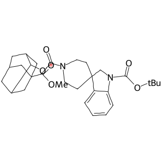 COC(=O)C12CC3CC(C1)C(OC(=O)N1CCC4(CC1)CN(C(=O)OC(C)(C)C)c1ccccc14)C(C3)C2